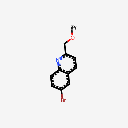 CC(C)OCc1ccc2cc(Br)ccc2n1